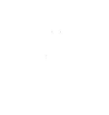 Cc1ccc(P(c2ccc(C)cc2)c2ccccc2C=O)cc1